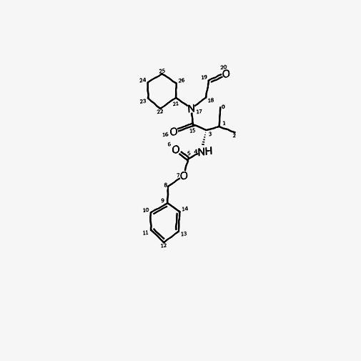 CC(C)[C@H](NC(=O)OCc1ccccc1)C(=O)N(CC=O)C1CCCCC1